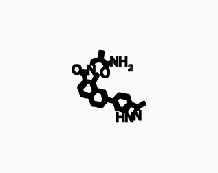 C=C(CN1Cc2c(ccc3ccc(-c4ccc5c(C)n[nH]c5c4)cc23)C1=O)C(N)=O